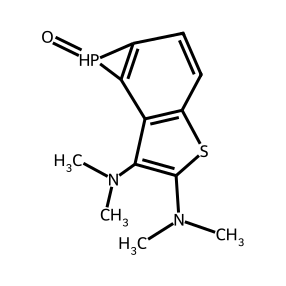 CN(C)c1sc2ccc3c(c2c1N(C)C)[PH]3=O